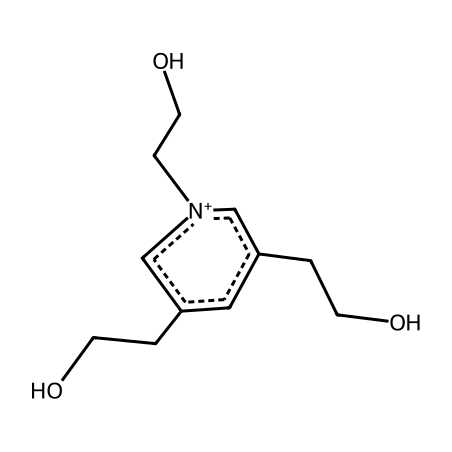 OCCc1cc(CCO)c[n+](CCO)c1